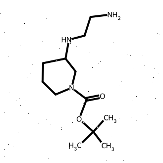 CC(C)(C)OC(=O)N1CCCC(NCCN)C1